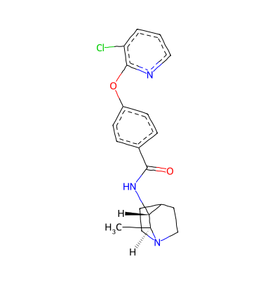 C[C@H]1[C@H](NC(=O)c2ccc(Oc3ncccc3Cl)cc2)C2CCN1CC2